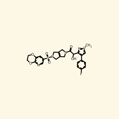 Cn1cc(-c2ccc(F)cc2)c(C(O)C(=O)N2CC3=C(C2)CN(S(=O)(=O)c2cnc4c(c2)OCCO4)C3)n1